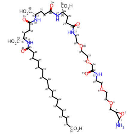 NC1OC1COCCOCCNC(=O)COCCOCCNC(=O)CC[C@H](NC(=O)CC[C@H](NC(=O)CC[C@H](NC(=O)CCCCCCCCCCCCCCCCC(=O)O)C(=O)O)C(=O)O)C(=O)O